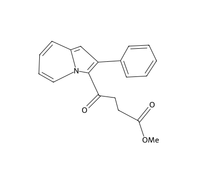 COC(=O)CCC(=O)c1c(-c2ccccc2)cc2ccccn12